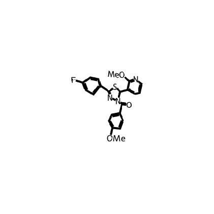 COc1ccc(C(=O)N2N=C(c3ccc(F)cc3)SC2c2cccnc2OC)cc1